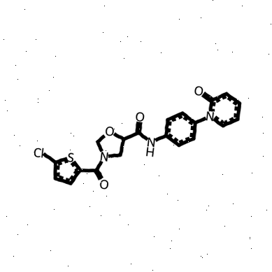 O=C(Nc1ccc(-n2ccccc2=O)cc1)C1CN(C(=O)c2ccc(Cl)s2)CO1